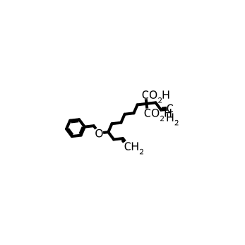 C=CCC(CCCCCC(CC=C)(C(=O)O)C(=O)O)OCc1ccccc1